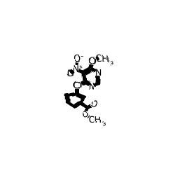 COC(=O)c1cccc(Oc2ncnc(OC)c2[N+](=O)[O-])c1